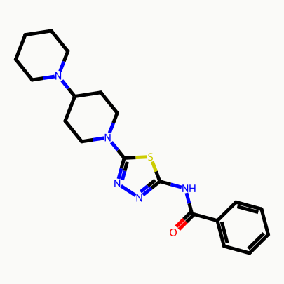 O=C(Nc1nnc(N2CCC(N3CCCCC3)CC2)s1)c1ccccc1